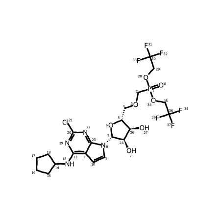 O=P(COC[C@H]1O[C@@H](n2ccc3c(NC4CCCC4)nc(Cl)nc32)[C@H](O)[C@@H]1O)(OCC(F)(F)F)OCC(F)(F)F